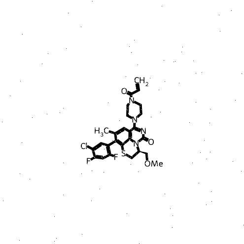 C=CC(=O)N1CCN(c2nc(=O)n3c4c(c(-c5cc(Cl)c(F)cc5F)c(C)cc24)SC[C@@H]3COC)CC1